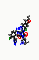 Cc1cncc(-n2c(=O)nc(Nc3cc4c(cc3Cl)OC(C)C4)n(Cc3ccc(F)c(C#N)c3)c2=O)c1